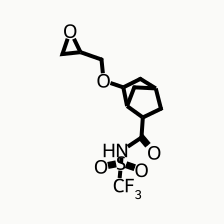 O=C(NS(=O)(=O)C(F)(F)F)C1CC2CC(OCC3CO3)C1C2